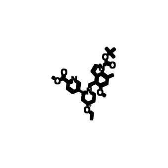 CCO[C@H]1CCN(Cc2c(OC)cc(C)c3c2ccn3C(=O)OC(C)(C)C)[C@H](c2ccc(C(=O)OC)nc2)C1